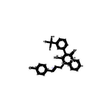 O=c1c(-c2cccc(C(F)(F)F)c2)c(O)[n+](C/C=C/c2ccc(Cl)cc2)c2ccccn12